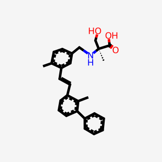 Cc1ccc(CN[C@@](C)(CO)C(=O)O)cc1/C=C/c1cccc(-c2ccccc2)c1C